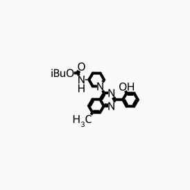 Cc1ccc2c(N3CCC[C@@H](NC(=O)OCC(C)C)C3)nc(-c3ccccc3O)nc2c1